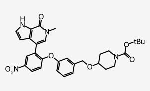 Cn1cc(-c2cc([N+](=O)[O-])ccc2Oc2cccc(COC3CCN(C(=O)OC(C)(C)C)CC3)c2)c2cc[nH]c2c1=O